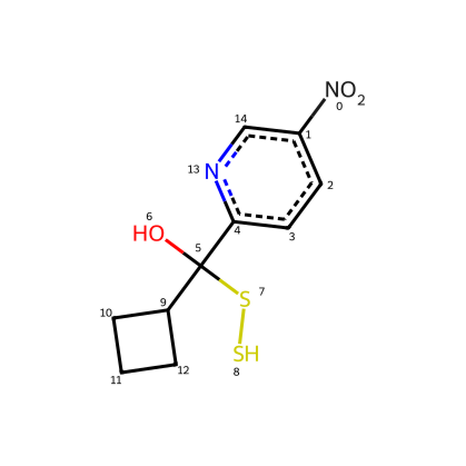 O=[N+]([O-])c1ccc(C(O)(SS)C2CCC2)nc1